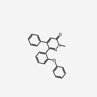 Cn1nc(-c2ccccc2Oc2ccccc2)c(-c2c[c]ccc2)cc1=O